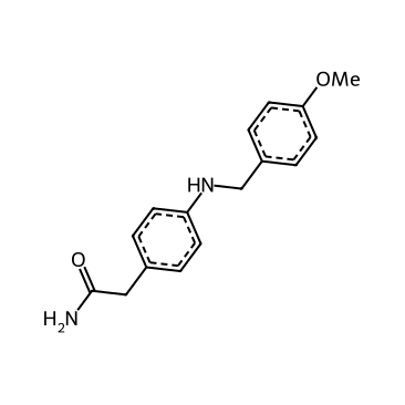 COc1ccc(CNc2ccc(CC(N)=O)cc2)cc1